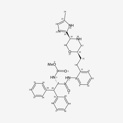 COC(=O)N[C@H](C(=O)Nc1ccccc1CC[C@@H]1CN[C@H](c2ncc(C)[nH]2)CO1)C(c1ccccc1)c1ccccc1